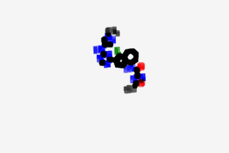 Cn1cc(Nc2ncnc(-c3ccc4c(c3F)CCCC[C@H]4NC(=O)c3noc(C(C)(C)C)n3)n2)cn1